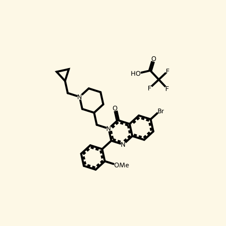 COc1ccccc1-c1nc2ccc(Br)cc2c(=O)n1CC1CCCN(CC2CC2)C1.O=C(O)C(F)(F)F